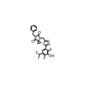 O=C1N(Cc2ccccc2)C(=O)C2(CC2)N1Cc1nnc(-c2cc(C(F)F)c(F)c(O)c2F)s1